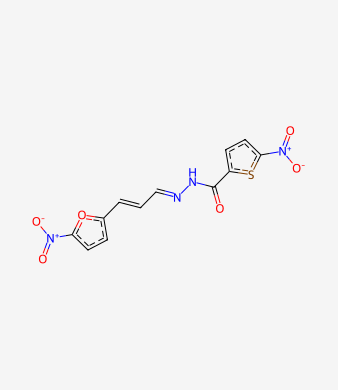 O=C(NN=CC=Cc1ccc([N+](=O)[O-])o1)c1ccc([N+](=O)[O-])s1